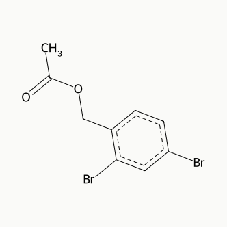 CC(=O)OCc1ccc(Br)cc1Br